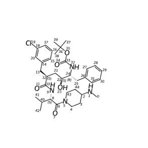 CNC1CCN(C(=O)[C@@H](NC(=O)[C@@H](Cc2cccc(Cl)c2)C[C@H](O)[C@@H](Cc2ccccc2)NC(=O)OC(C)(C)C)C(C)C)CC1